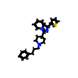 c1ccc(CCCN2CCC(c3nc(-c4cccs4)c4ccccn34)CC2)cc1